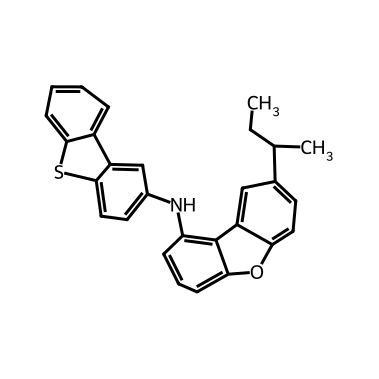 CCC(C)c1ccc2oc3cccc(Nc4ccc5sc6ccccc6c5c4)c3c2c1